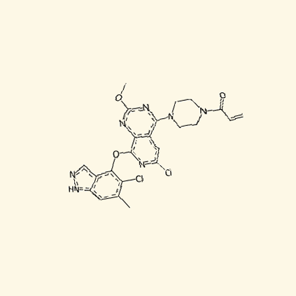 C=CC(=O)N1CCN(c2nc(OC)nc3c(Oc4c(Cl)c(C)cc5[nH]ncc45)nc(Cl)cc23)CC1